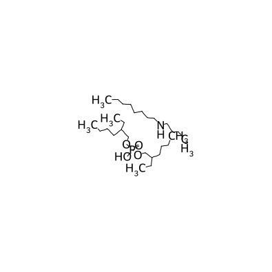 CCCCC(CC)COP(=O)(O)OCC(CC)CCCC.CCCCCCCCNCCCC